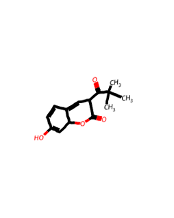 CC(C)(C)C(=O)C1C=C2C=CC(O)=CC2OC1=O